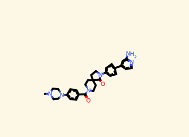 CN1CCN(c2ccc(C(=O)N3CCC4(CC3)CCN(c3ccc(-c5ccnc(N)c5)cc3)C4=O)cc2)CC1